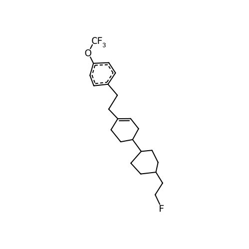 FCCC1CCC(C2CC=C(CCc3ccc(OC(F)(F)F)cc3)CC2)CC1